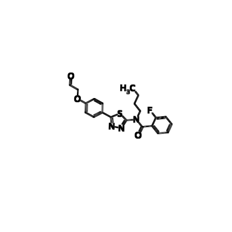 CCCCN(C(=O)c1ccccc1F)c1nnc(-c2ccc(OCC=O)cc2)s1